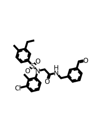 CCc1cc(S(=O)(=O)N(CC(=O)NCc2cccc(C=O)c2)c2cccc(Cl)c2C)ccc1C